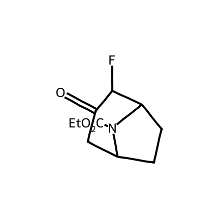 CCOC(=O)N1C2CCC1C(F)C(=O)C2